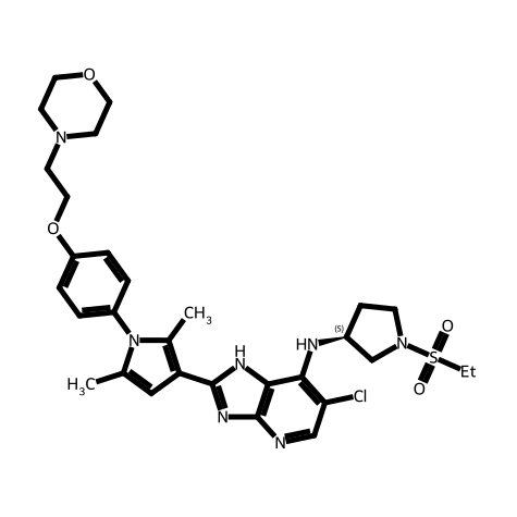 CCS(=O)(=O)N1CC[C@H](Nc2c(Cl)cnc3nc(-c4cc(C)n(-c5ccc(OCCN6CCOCC6)cc5)c4C)[nH]c23)C1